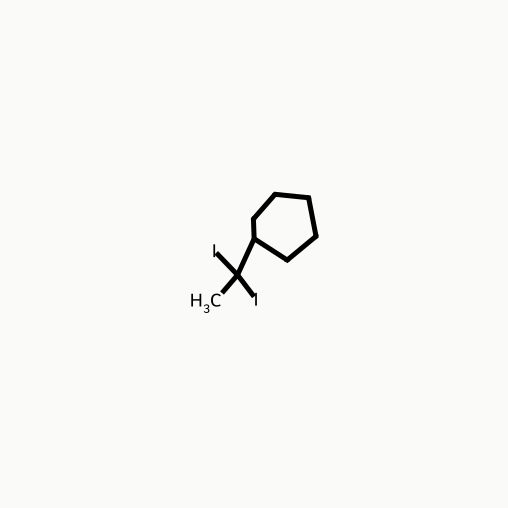 CC(I)(I)C1CCCCC1